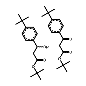 CC(C)(C)OC(=O)CC(=O)c1ccc(C(C)(C)C)cc1.CC(C)(C)OC(=O)CC(O)c1ccc(C(C)(C)C)cc1